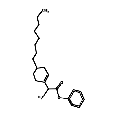 CCCCCCCCC1CC=C(C(C)C(=O)Oc2ccccc2)CC1